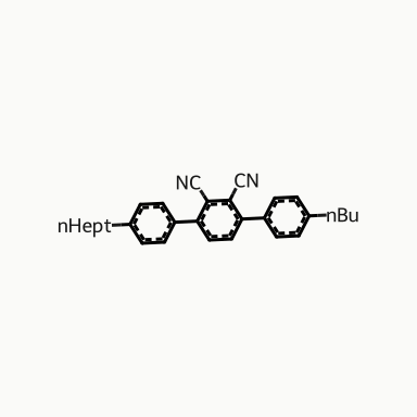 CCCCCCCc1ccc(-c2ccc(-c3ccc(CCCC)cc3)c(C#N)c2C#N)cc1